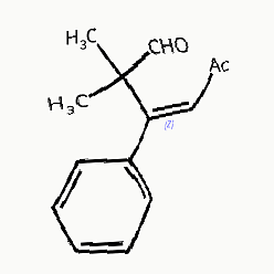 CC(=O)/C=C(/c1ccccc1)C(C)(C)C=O